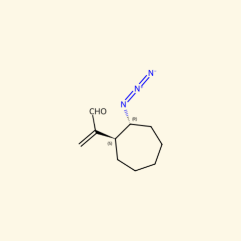 C=C(C=O)[C@@H]1CCCCC[C@H]1N=[N+]=[N-]